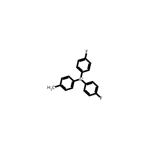 Cc1ccc([S+](c2ccc(F)cc2)c2ccc(F)cc2)cc1